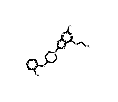 Cc1nc(OCC(=O)O)c2sc(N3CCC(Oc4ccccc4C)CC3)nc2n1